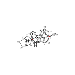 CC(C)c1ccc(NC(=O)N2C3CCC2CC(S(=O)(=O)c2ccccn2)C3)cc1